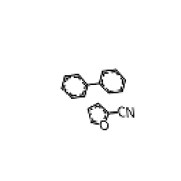 N#Cc1ccco1.c1ccc(-c2ccccc2)cc1